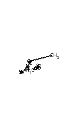 CCCCCCCCCCCCCCCCC[C@@H]1OC[C@@H](COC(=O)CCCC[n+]2ccsc2)O1.Cc1ccc(S(=O)(=O)[O-])cc1